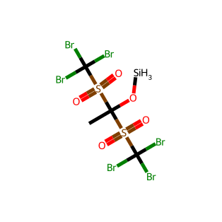 CC(O[SiH3])(S(=O)(=O)C(Br)(Br)Br)S(=O)(=O)C(Br)(Br)Br